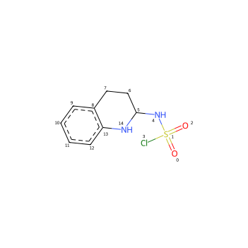 O=S(=O)(Cl)NC1CCc2ccccc2N1